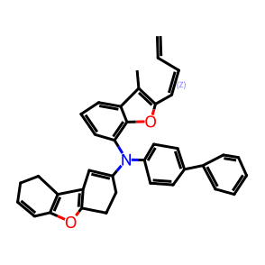 C=C/C=C\c1oc2c(N(C3=Cc4c(oc5c4CCC=C5)CC3)c3ccc(-c4ccccc4)cc3)cccc2c1C